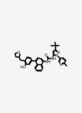 Cc1ccc(-n2nc(C(C)(C)C)cc2NC(=O)Nc2ccc(-c3ccc(CC4CCOC4)c(O)c3)c3ccccc23)cn1